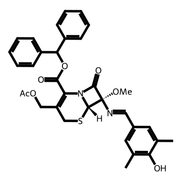 CO[C@@]1(N=Cc2cc(C)c(O)c(C)c2)C(=O)N2C(C(=O)OC(c3ccccc3)c3ccccc3)=C(COC(C)=O)CS[C@H]21